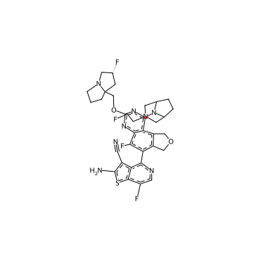 N#Cc1c(N)sc2c(F)cnc(-c3c4c(c5c(N6C7CCC6CN(CCF)C7)nc(OCC67CCCN6C[C@H](F)C7)nc5c3F)COC4)c12